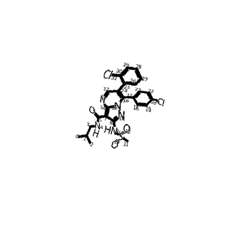 CC(C)CNC(=O)c1c(NS(C)(=O)=O)nn2c(-c3ccc(Cl)cc3)c(-c3ccccc3Cl)cnc12